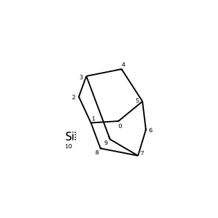 C1C2CC3CC1CC(C2)C3.[Si]